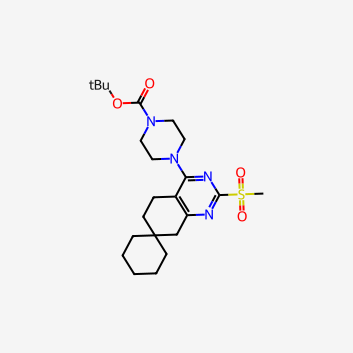 CC(C)(C)OC(=O)N1CCN(c2nc(S(C)(=O)=O)nc3c2CCC2(CCCCC2)C3)CC1